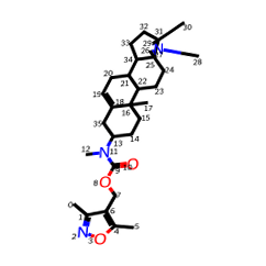 Cc1noc(C)c1COC(=O)N(C)C1CCC2(C)C(=CCC3C2CCC24CN(C)C(C)C2CCC34)C1